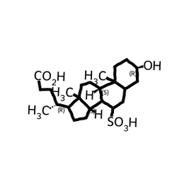 C[C@H](CCC(=O)O)C1CC[C@H]2C3C(S(=O)(=O)O)CC4C[C@H](O)CCC4(C)[C@H]3CCC12C